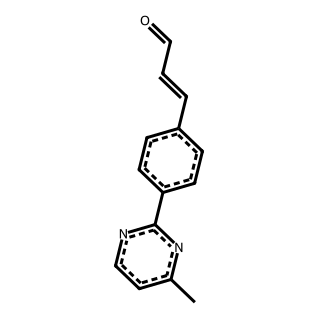 Cc1ccnc(-c2ccc(/C=C/C=O)cc2)n1